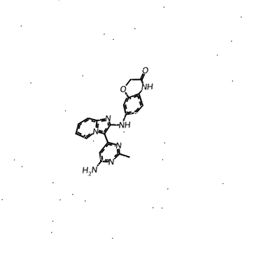 Cc1nc(N)cc(-c2c(Nc3ccc4c(c3)OCC(=O)N4)nc3ccccn23)n1